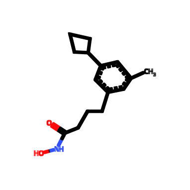 Cc1cc(CCCC(=O)NO)cc(C2CCC2)c1